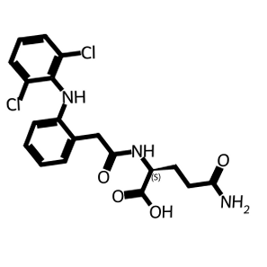 NC(=O)CC[C@H](NC(=O)Cc1ccccc1Nc1c(Cl)cccc1Cl)C(=O)O